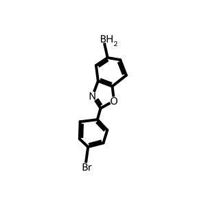 Bc1ccc2oc(-c3ccc(Br)cc3)nc2c1